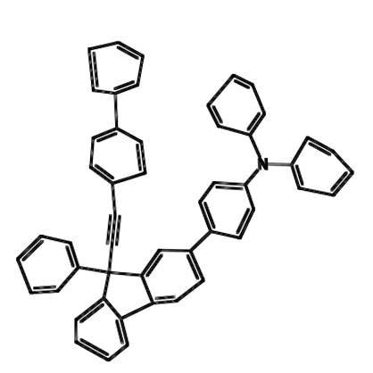 C(#CC1(c2ccccc2)c2ccccc2-c2ccc(-c3ccc(N(c4ccccc4)c4ccccc4)cc3)cc21)c1ccc(-c2ccccc2)cc1